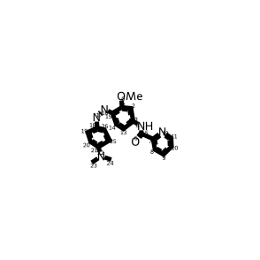 COc1cc(NC(=O)c2ccccn2)ccc1/N=N\c1ccc(N(C)C)cc1